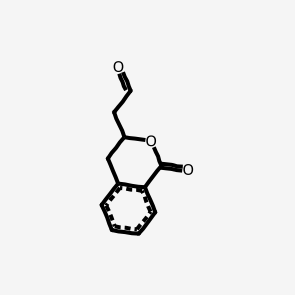 O=CCC1Cc2ccccc2C(=O)O1